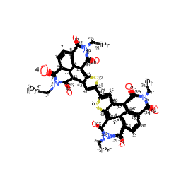 CC(C)CN1C(=O)c2ccc3c4c(c5sc(-c6cc7c8c9c(ccc%10c9c(c7s6)C(=O)N(CC(C)C)C%10=O)C(=O)N(CC(C)C)C8=O)cc5c(c24)C1=O)C(=O)N(CC(C)C)C3=O